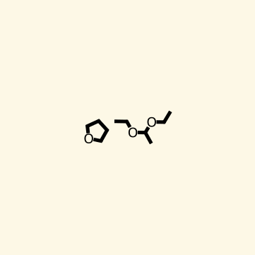 C1CCOC1.CCOC(C)OCC